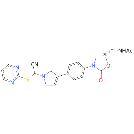 CC(=O)NC[C@H]1CN(c2ccc(C3=CCN(C(C#N)Sc4ncccn4)C3)cc2)C(=O)O1